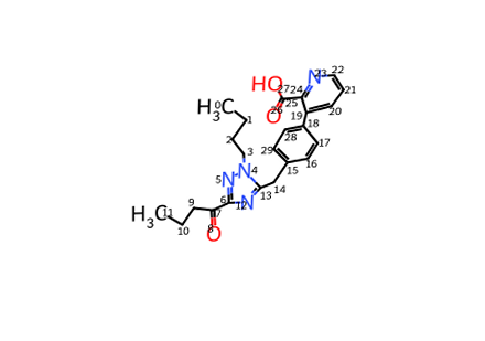 CCCCn1nc(C(=O)CCC)nc1Cc1ccc(-c2cccnc2C(=O)O)cc1